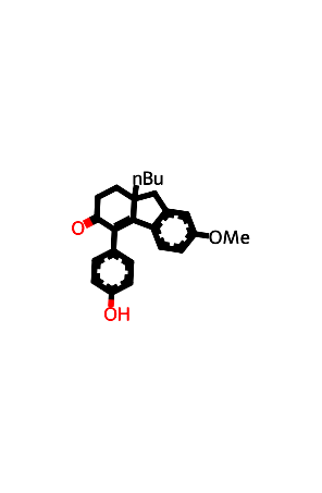 CCCCC12CCC(=O)C(c3ccc(O)cc3)=C1c1ccc(OC)cc1C2